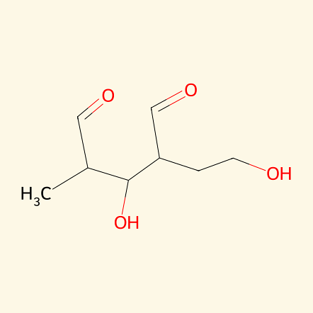 CC(C=O)C(O)C(C=O)CCO